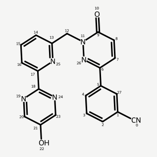 N#Cc1cccc(-c2ccc(=O)n(Cc3cccc(-c4ncc(O)cn4)n3)n2)c1